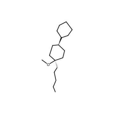 CCCCC[C@]1(OC)CC[C@@H](C2CCCCC2)CC1